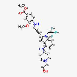 COC(=O)c1ccc(NCC#Cc2cc3c(NC4CCN(CCO)CC4)cccc3n2CC(F)(F)F)c(OC)c1